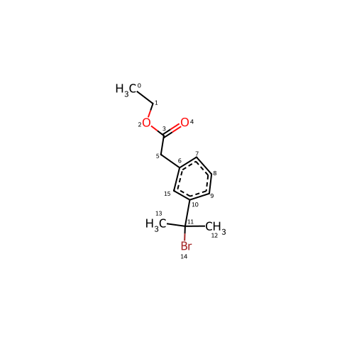 CCOC(=O)Cc1cccc(C(C)(C)Br)c1